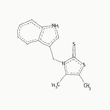 Cc1sc(=S)n(Cc2c[nH]c3ccccc23)c1C